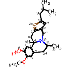 COc1cc2c(cc1O)[C@@H]1Cc3sc(CC(C)C)cc3CN1C(C)C2